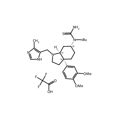 CCCCN(C(N)=S)[C@@H]1CC[C@@]2(c3ccc(OC)c(OC)c3)CCN(Cc3[nH]cnc3C)[C@H]2C1.O=C(O)C(F)(F)F